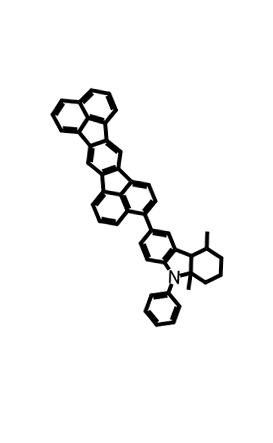 CC1CCCC2(C)C1c1cc(-c3ccc4c5cc6c(cc5c5cccc3c54)c3cccc4cccc6c43)ccc1N2c1ccccc1